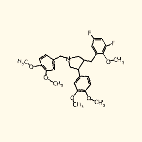 COc1ccc(CN2CC(Cc3cc(F)cc(F)c3OC)C(c3ccc(OC)c(OC)c3)C2)cc1OC